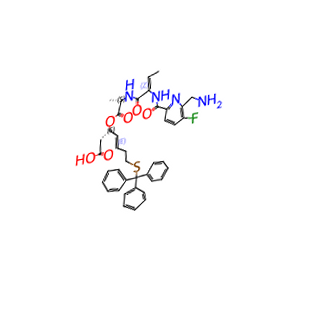 C/C=C(\NC(=O)c1ccc(F)c(CN)n1)C(=O)N[C@@H](C)C(=O)O[C@H](/C=C/CCSC(c1ccccc1)(c1ccccc1)c1ccccc1)CC(=O)O